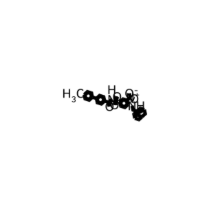 Cc1ccc(-c2ccc(C(=O)NS(=O)(=O)c3ccc(NCC45CC6CC(CC(C6)C4)C5)c([N+](=O)[O-])c3)cc2)cc1